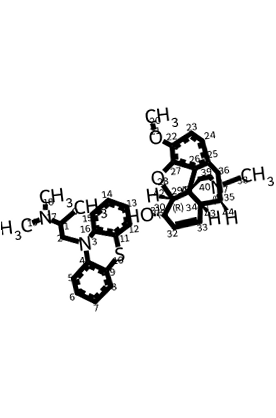 CC(CN1c2ccccc2Sc2ccccc21)N(C)C.COc1ccc2c3c1O[C@H]1[C@@H](O)C=C[C@H]4[C@@H](C2)N(C)CC[C@@]341